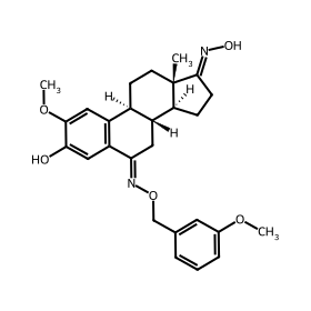 COc1cccc(CON=C2C[C@@H]3[C@H](CC[C@]4(C)C(=NO)CC[C@@H]34)c3cc(OC)c(O)cc32)c1